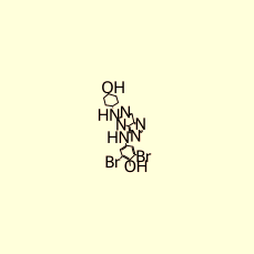 Oc1c(Br)cc(Nc2ncnc3cnc(N[C@H]4CC[C@H](O)CC4)nc23)cc1Br